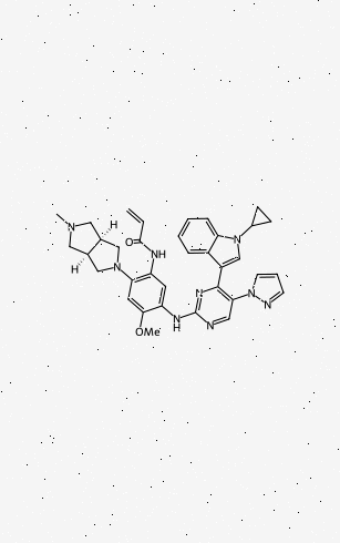 C=CC(=O)Nc1cc(Nc2ncc(-n3cccn3)c(-c3cn(C4CC4)c4ccccc34)n2)c(OC)cc1N1C[C@H]2CN(C)C[C@H]2C1